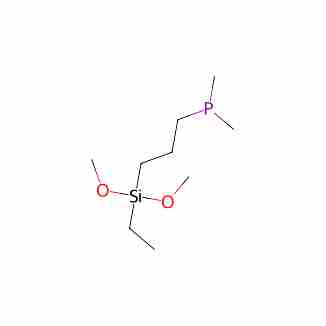 CC[Si](CCCP(C)C)(OC)OC